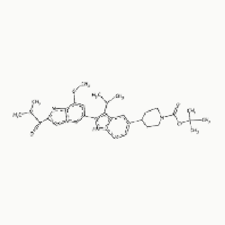 COc1cc(-c2[nH]c3ccc(C4CCN(C(=O)OC(C)(C)C)CC4)cc3c2C(C)C)cn2cc(C(=O)N(C)C)nc12